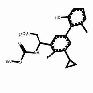 CCOC(=O)C[C@H](NC(=O)OC(C)(C)C)c1cc(-c2c(C)cccc2O)cc(C2CC2)c1F